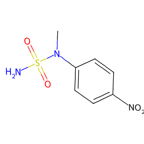 CN(c1ccc([N+](=O)[O-])cc1)S(N)(=O)=O